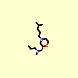 CCCN(C)C[C@H]1CN(CCCC(C)C)CCO1